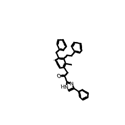 Cc1c(CC(=O)c2nc(-c3ccccc3)c[nH]2)c[c]c(Cc2ccccc2)c1CCc1ccccc1